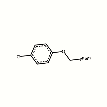 [CH2]CCCCCOc1ccc(Cl)cc1